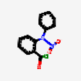 O=C(Cl)c1ccccc1N(c1ccccc1)[N+](=O)[O-]